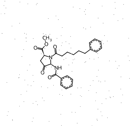 COC(=O)[C@@H]1CC(=O)C(NC(=O)c2ccccc2)N1C(=O)CCCCCc1ccccc1